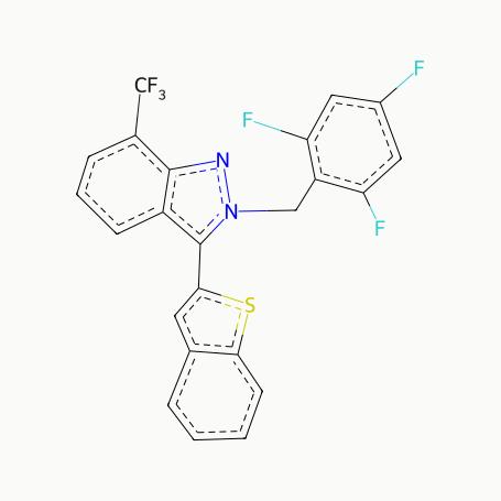 Fc1cc(F)c(Cn2nc3c(C(F)(F)F)cccc3c2-c2cc3ccccc3s2)c(F)c1